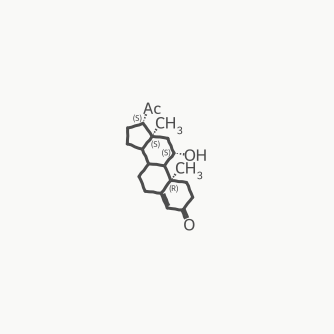 CC(=O)[C@H]1CCC2C3CCC4=CC(=O)CC[C@]4(C)C3[C@@H](O)C[C@@]21C